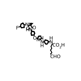 O=CCCCCCC(Nc1ccc(Nc2nccc(Oc3ccc(NC(=O)C4(C(=O)Nc5ccc(F)cc5)CC4)cc3)n2)cc1)C(=O)O